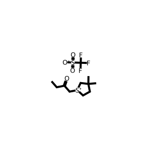 CCC(=O)C[S+]1CCC(C)(C)C1.O=S(=O)([O-])C(F)(F)F